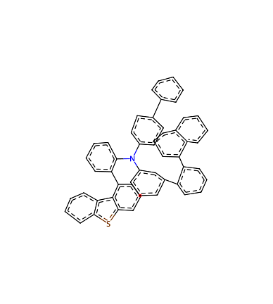 c1ccc(-c2ccc(N(c3cccc(-c4ccccc4-c4cccc5ccccc45)c3)c3ccccc3-c3cccc4sc5ccccc5c34)cc2)cc1